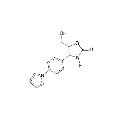 O=C1OC(CO)C(c2ccc(-n3cccc3)cc2)N1F